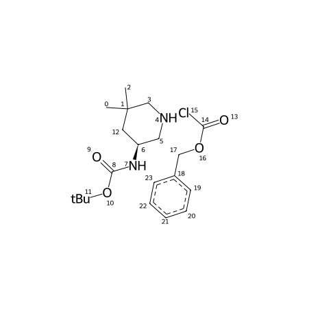 CC1(C)CNC[C@@H](NC(=O)OC(C)(C)C)C1.O=C(Cl)OCc1ccccc1